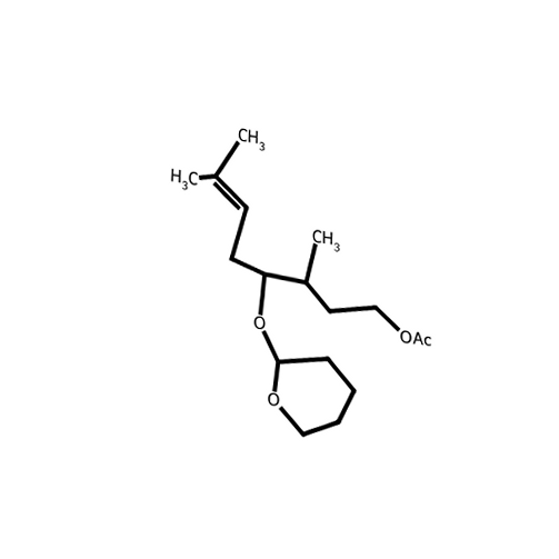 CC(=O)OCCC(C)C(CC=C(C)C)OC1CCCCO1